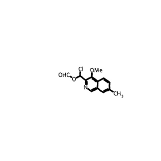 COc1c(C(Cl)OC=O)ncc2cc(C)ccc12